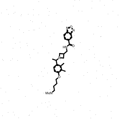 CNCCCCOc1ccc(C(C)N2CC(CNC(=O)c3ccc4nonc4c3)C2)c(C)c1C